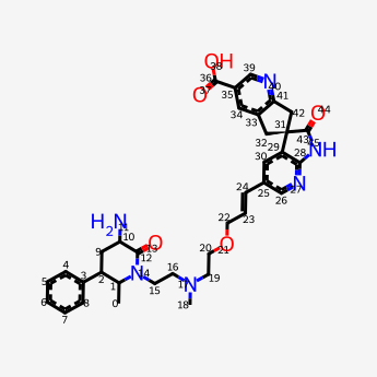 CC1C(c2ccccc2)CC(N)C(=O)N1CCN(C)CCOC/C=C/c1cnc2c(c1)[C@@]1(Cc3cc(C(=O)O)cnc3C1)C(=O)N2